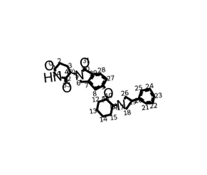 O=C1CC[C@@H](N2Cc3cc(O[C@@H]4CCCC[C@@H]4N4CC(c5ccccc5)C4)ccc3C2=O)C(=O)N1